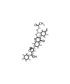 CC(=O)CCCCc1nc2cc(-c3cc([C@@H](O)c4ccccc4)on3)ccc2c(=O)n1-c1ccc(F)cc1